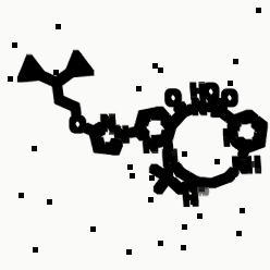 CC1(C)C[C@H]2CCNc3cccc(n3)S(=O)(=O)NC(=O)c3ccc(-n4ccc(OCCC(C5CC5)C5CC5)n4)nc3N1C2